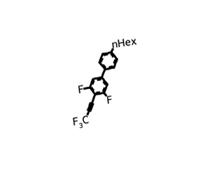 CCCCCCc1ccc(-c2cc(F)c(C#CC(F)(F)F)c(F)c2)cc1